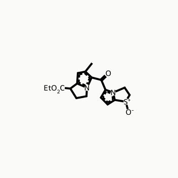 CCOC(=O)C1CCn2c1cc(C)c2C(=O)c1ccc2n1CC[S+]2[O-]